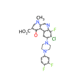 Cn1cc(C(=O)O)c(=O)c2c3cc(N4CCN(c5ccc(F)c(F)c5)CC4)c(Cl)c(F)c3ncc21